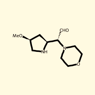 CO[C@@H]1CN[C@H]([C@H](C=O)N2CCOCC2)C1